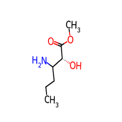 CCCC(N)[C@@H](O)C(=O)OC